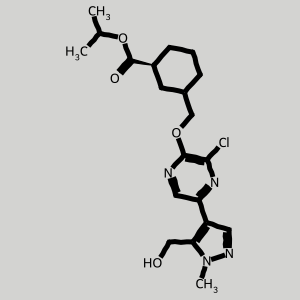 CC(C)OC(=O)[C@H]1CCCC(COc2ncc(-c3cnn(C)c3CO)nc2Cl)C1